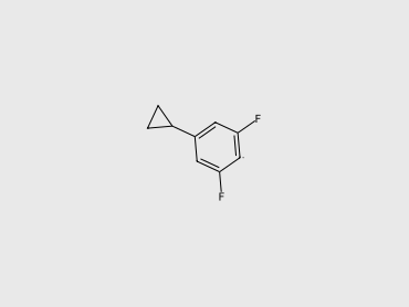 Fc1[c]c(F)cc(C2CC2)c1